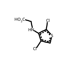 O=C(O)CNc1c(Cl)csc1Cl